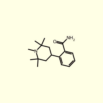 CN1C(C)(C)CC(c2ccccc2C(N)=O)CC1(C)C